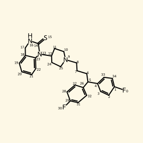 Fc1ccc(C(CCCN2CCC(N3C(=S)NCc4ccccc43)CC2)c2ccc(F)cc2)cc1